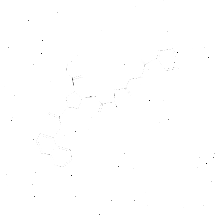 CC[C@H](NC(=O)CNC(=O)c1cnccn1)C(=O)N[C@H]1CN(C(=O)Oc2cccc3ccccc23)C[C@H]1C(=O)OC(C)(C)C